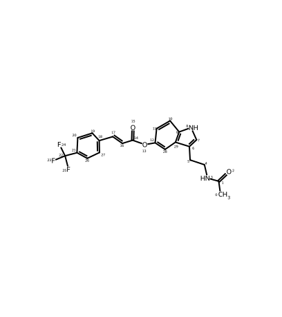 CC(=O)NCCc1c[nH]c2ccc(OC(=O)/C=C/c3ccc(C(F)(F)F)cc3)cc12